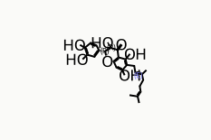 CC(C)=CCC/C(C)=C/Cc1c(O)cc2c(c1O)C(=O)[C@H](O)[C@@H](c1ccc(O)c(O)c1)O2